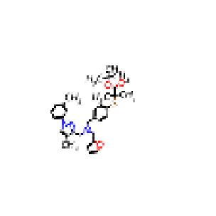 Cc1cccc(-n2cc(C)c(CN(Cc3ccc(SC(C)(C)C(=O)OC(C)(C)C)cc3)Cc3ccco3)n2)c1